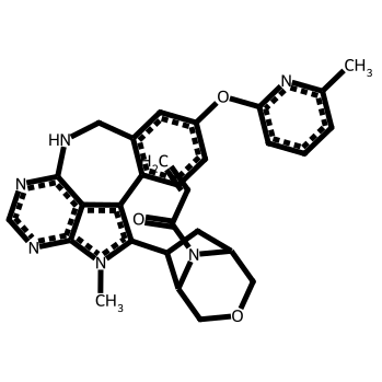 C=CC(=O)N1C2COCC1C(c1c3c4c(ncnc4n1C)NCc1cc(Oc4cccc(C)n4)ccc1-3)C2